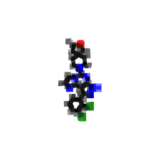 C[C@H]1CC2(CCN(c3nc4[nH]nc(-c5cccc(Cl)c5Cl)c4c4nccn34)CC2)CO1